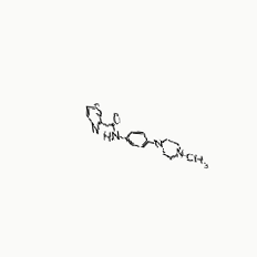 CN1CCN(c2ccc(NC(=O)c3nccs3)cc2)CC1